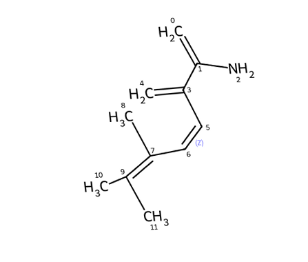 C=C(N)C(=C)/C=C\C(C)=C(C)C